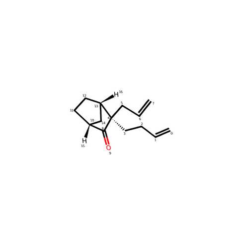 C=CCC[C@]1(CC=C)C(=O)[C@@H]2CC[C@H]1C2